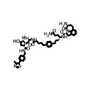 Cc1ncsc1-c1ccc(CNC(=O)[C@@H]2C[C@@H](O)CN2C(=O)[C@@H](NC(=O)CCCCc2ccc(CCC[C@H](CCC(N)=O)NC(=O)[C@@H]3Cc4cccc5c4N3C(=O)[C@@H](N)CC5)cc2)C(C)(C)C)cc1